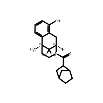 CC1(C)[C@H]2Cc3c(O)cccc3[C@]1(C)CCN2C(=O)C1CC2CCC1C2